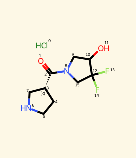 Cl.O=C([C@@H]1CCNC1)N1CC(O)C(F)(F)C1